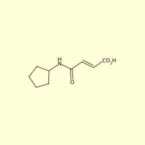 O=C(O)C=CC(=O)NC1CCCC1